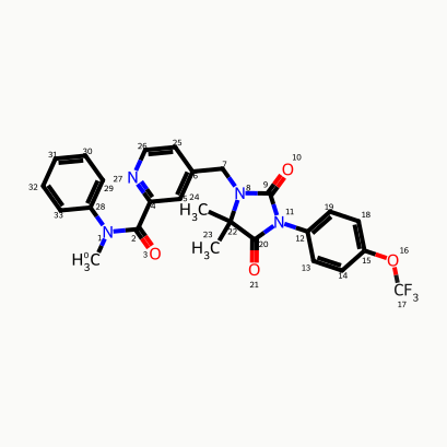 CN(C(=O)c1cc(CN2C(=O)N(c3ccc(OC(F)(F)F)cc3)C(=O)C2(C)C)ccn1)c1ccccc1